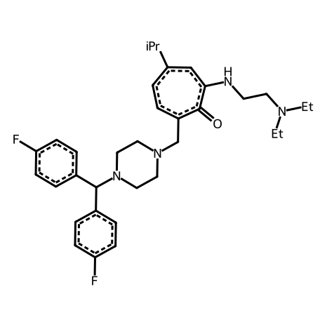 CCN(CC)CCNc1cc(C(C)C)ccc(CN2CCN(C(c3ccc(F)cc3)c3ccc(F)cc3)CC2)c1=O